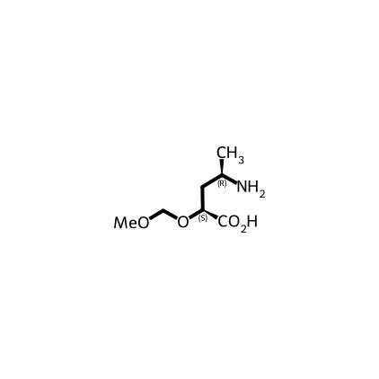 COCO[C@@H](C[C@@H](C)N)C(=O)O